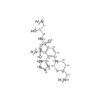 NCC(O)CNS(=O)(=O)c1ccc(N2CCC(CN)CC2)c(-c2nnn[nH]2)c1S(N)(=O)=O